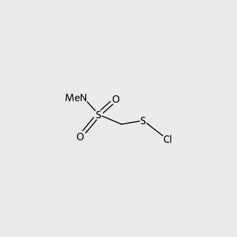 CNS(=O)(=O)CSCl